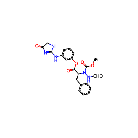 CC(C)OC(=O)N(NC=O)[C@@H](Cc1ccccc1)C(=O)Oc1cccc(NC2=NC(=O)CN2)c1